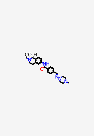 CN1CCN(N=Cc2ccc(C(=O)Nc3ccc4c(c3)CCN(CC(=O)O)C4)cc2)CC1